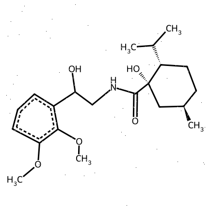 COc1cccc(C(O)CNC(=O)[C@]2(O)C[C@H](C)CC[C@H]2C(C)C)c1OC